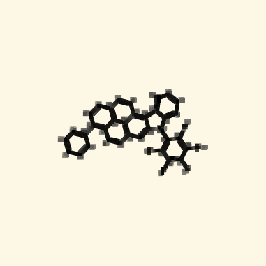 Fc1c(F)c(F)c(-n2c3cccnc3c3c4ccc5ccc(-c6ccccc6)c6ccc(cc32)c4c56)c(F)c1F